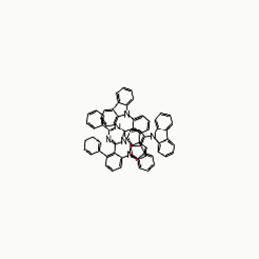 C1=CCC(c2cccc(-n3c4ccccc4c4ccccc43)c2-c2nc(-c3ccccc3)nc(-c3c(C4=CCCC=C4)cccc3-n3c4ccccc4c4c(-n5c6ccccc6c6ccccc65)cccc43)n2)C=C1